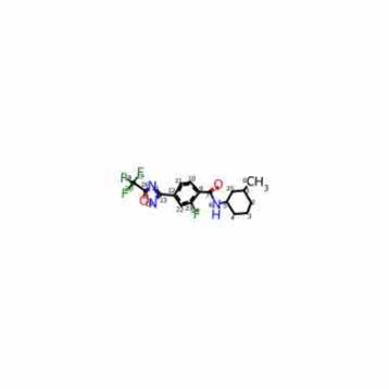 CC1CCCC(NC(=O)c2ccc(-c3noc(C(F)(F)F)n3)cc2F)C1